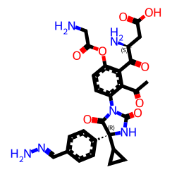 CC(=O)c1c(N2C(=O)N[C@@](c3ccc(C=NN)cc3)(C3CC3)C2=O)ccc(OC(=O)CN)c1C(=O)[C@@H](N)CC(=O)O